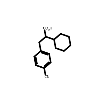 N#Cc1ccc(CC(C(=O)O)C2CCCCC2)cc1